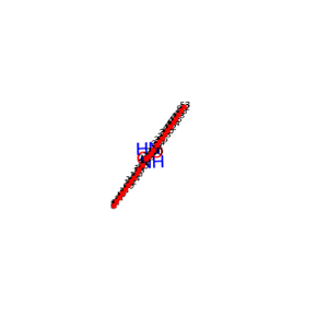 CCCCCCCCCCCCCCCCCCCCCCNC(=O)CCCCC(=O)NCCCCCCCCCCCCCCCCCCCCCC